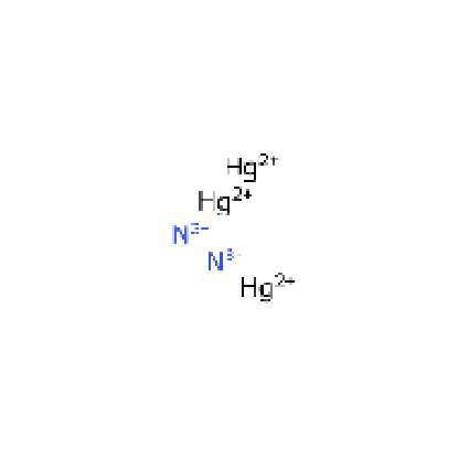 [Hg+2].[Hg+2].[Hg+2].[N-3].[N-3]